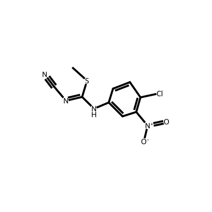 CS/C(=N\C#N)Nc1ccc(Cl)c([N+](=O)[O-])c1